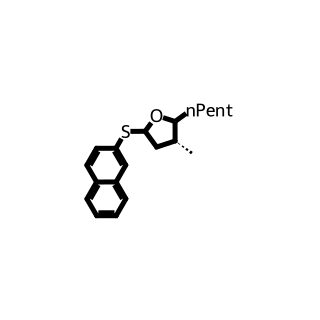 CCCCCC1OC(Sc2ccc3ccccc3c2)C[C@H]1C